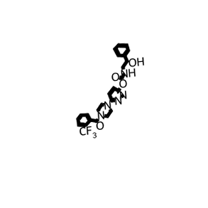 O=C(NC[C@@H](O)c1ccccc1)Oc1ccc(N2CCN(C(=O)c3ccccc3C(F)(F)F)CC2)nn1